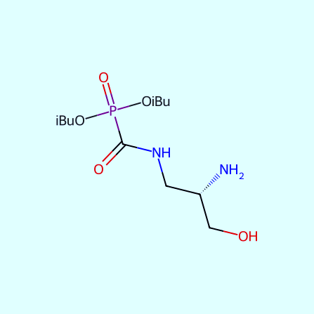 CC(C)COP(=O)(OCC(C)C)C(=O)NC[C@H](N)CO